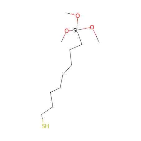 CO[Si](CCCCCCCCS)(OC)OC